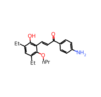 CCCOc1c(CC)cc(CC)c(O)c1C=CC(=O)c1ccc(N)cc1